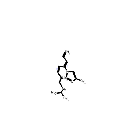 C=C/C=C(\C=C/C(=C)CNC(C)C)n1cc(C)nn1